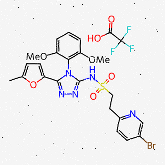 COc1cccc(OC)c1-n1c(NS(=O)(=O)CCc2ccc(Br)cn2)nnc1-c1ccc(C)o1.O=C(O)C(F)(F)F